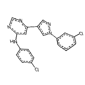 Clc1ccc(Nc2cc(-c3cnn(-c4cccc(Cl)c4)c3)ncn2)cc1